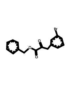 O=C(Cc1cccc(Br)c1)C(=O)OCc1ccccc1